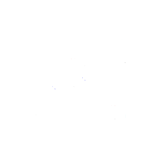 CC(F)(F)c1cc(C(=O)NC(Cc2ccccc2)(c2ccc3c(c2)OC(F)(F)O3)c2ccc(Cl)cn2)ccc1F